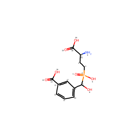 N[C@@H](CCP(=O)(O)C(O)c1cccc(C(=O)O)c1)C(=O)O